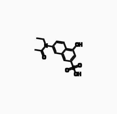 CCN(C(C)=O)c1ccc2c(O)cc(S(=O)(=O)O)cc2c1